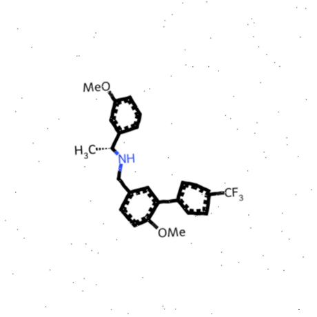 COc1cccc([C@@H](C)NCc2ccc(OC)c(-c3ccc(C(F)(F)F)cc3)c2)c1